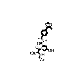 CC(=O)CN[C@H](C(=O)N1C[C@H](O)C[C@H]1C(=O)N[C@@H](C)c1ccc(-c2scnc2C)cc1)C(C)(C)C